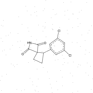 O=C1NC(=O)C12CCC2c1cc(Cl)cc(Cl)c1